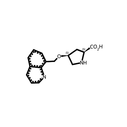 O=C(O)[C@@H]1C[C@H](OCc2cccc3cccnc23)CN1